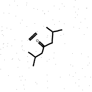 C=C.CC(C)CC(=O)CC(C)C